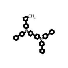 CC1C=C(c2ccc(N(c3ccc(-c4ccccc4)cc3)c3ccc(-c4ccc(N(c5ccc(-c6ccccc6)cc5)c5ccc(-c6ccccc6)cc5)cc4)cc3)cc2)C=CC1